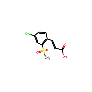 CS(=O)(=O)c1cc(Cl)ccc1/C=C/C(=O)O